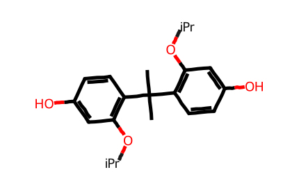 CC(C)Oc1cc(O)ccc1C(C)(C)c1ccc(O)cc1OC(C)C